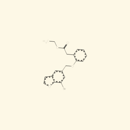 CCOC(=O)Cc1ccccc1OCc1cc(Br)c2occc2c1